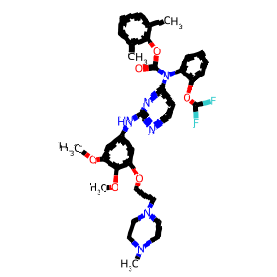 COc1cc(Nc2nccc(N(C(=O)Oc3c(C)cccc3C)c3ccccc3OC(F)F)n2)cc(OCCN2CCN(C)CC2)c1OC